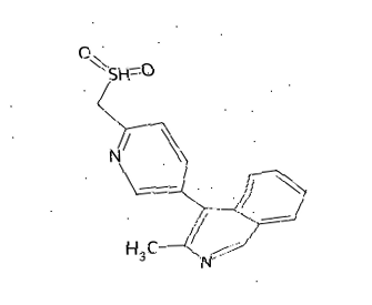 Cc1ncc2ccccc2c1-c1ccc(C[SH](=O)=O)nc1